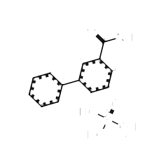 NC(=O)c1cccc(-c2ccccc2)c1.O=P(O)(O)O